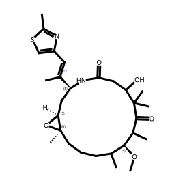 CO[C@H]1C(C)CCC[C@@]2(C)O[C@H]2C[C@@H](/C(C)=C/c2csc(C)n2)NC(=O)CC(O)C(C)(C)C(=O)C1C